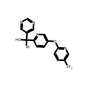 CC(C)C(O)(c1cncnc1)c1ccc(Oc2ccc(C(F)(F)F)cn2)cn1